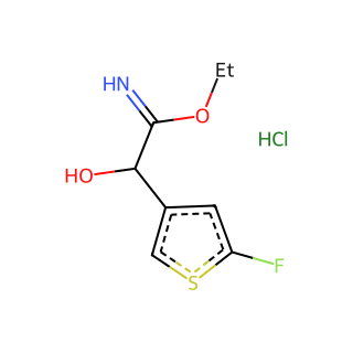 CCOC(=N)C(O)c1csc(F)c1.Cl